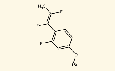 CC(F)=C(F)c1ccc(OC(C)(C)C)cc1F